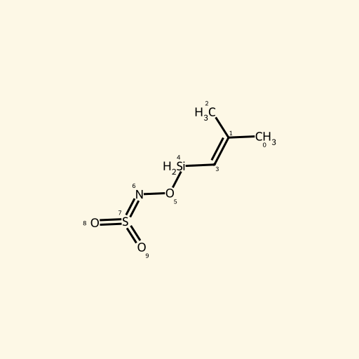 CC(C)=C[SiH2]ON=S(=O)=O